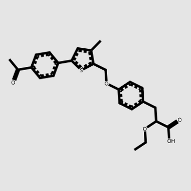 CCOC(Cc1ccc(OCc2sc(-c3ccc(C(C)=O)cc3)cc2C)cc1)C(=O)O